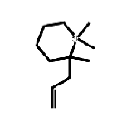 C=CCC1(C)CCCC[Si]1(C)C